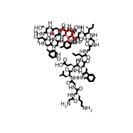 CC[C@H](C)[C@H](NC(=O)[C@H](C)NC(=O)CNC(=O)[C@@H](NC(=O)[C@H](Cc1c[nH]c2ccccc12)NC(=O)[C@H](CCC(=O)O)NC(=O)[C@H](CC(C)C)NC(=O)CNC(=O)[C@H](CCCCN)NC(=O)CN)[C@@H](C)CC)C(=O)N[C@@H](CO)C(=O)N[C@H](C(=O)NCC(=O)NCC(=O)N[C@@H](CO)C(=O)N[C@H](C(=O)N[C@@H](Cc1ccc(O)cc1)C(=O)N[C@@H](Cc1ccc(O)cc1)C(=O)N[C@@H](C)C(=O)N[C@@H](CC(N)=O)C(=O)O)[C@@H](C)O)[C@@H](C)O